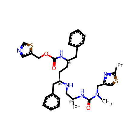 CC(C)c1nc(CN(C)C(=O)N[C@H](CN[C@H](CC[C@H](Cc2ccccc2)NC(=O)OCc2cncs2)Cc2ccccc2)C(C)C)cs1